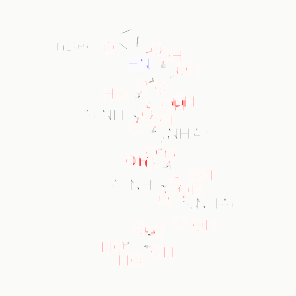 CCCCCCCCCCCOc1cccc(C(=O)NC2[C@H](O[C@H]3C(O)C(NC(C)=O)[C@H](OC4C(CO)O[C@@H](O[C@H]5C(O)C(NC(C)=O)[C@H](OC6C(CO[C@@H]7OC(C)[C@@H](O)C(O)[C@H]7O)OC(O)[C@@H](NC(C)=O)[C@H]6O)O[C@H]5CO)[C@@H](NC(C)=O)[C@H]4O)O[C@H]3CO)OC(CO)[C@@H](O)[C@@H]2O)c1